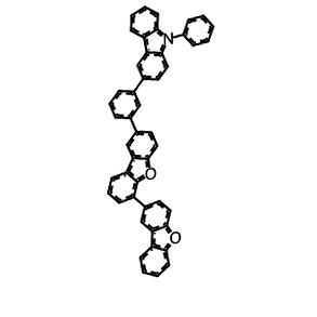 c1ccc(-n2c3ccccc3c3cc(-c4cccc(-c5ccc6oc7c(-c8ccc9oc%10ccccc%10c9c8)cccc7c6c5)c4)ccc32)cc1